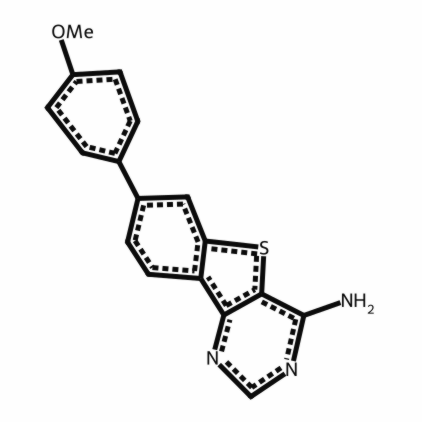 COc1ccc(-c2ccc3c(c2)sc2c(N)ncnc23)cc1